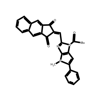 Cn1c(-c2ccccc2)cc2c1nc(C=C1C(=O)c3cc4ccccc4cc3C1=O)n2C(=O)C(C)(C)C